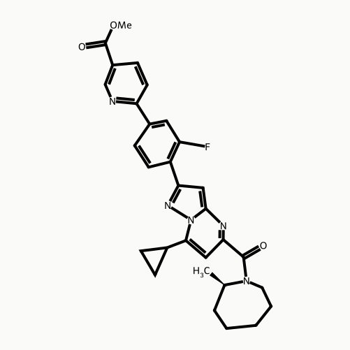 COC(=O)c1ccc(-c2ccc(-c3cc4nc(C(=O)N5CCCCC[C@H]5C)cc(C5CC5)n4n3)c(F)c2)nc1